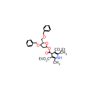 CCOC(=O)C1=C(C)NC(C)=C(C(=O)OCC)C1C(=O)OC1C[C@H](OCc2ccccc2)[C@@H](COCc2ccccc2)O1